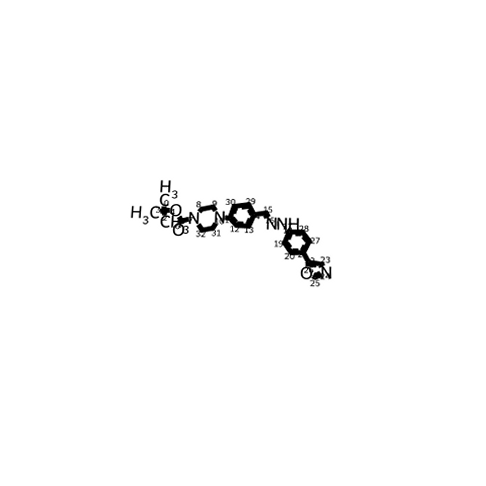 CC(C)(C)OC(=O)N1CCN(c2ccc(/C=N/Nc3ccc(-c4cnco4)cc3)cc2)CC1